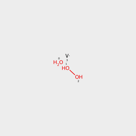 O.OO.[V]